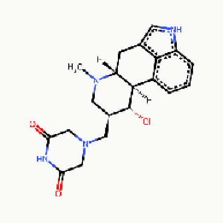 CN1C[C@H](CN2CC(=O)NC(=O)C2)[C@@H](O)[C@@H]2c3cccc4[nH]cc(c34)C[C@H]21